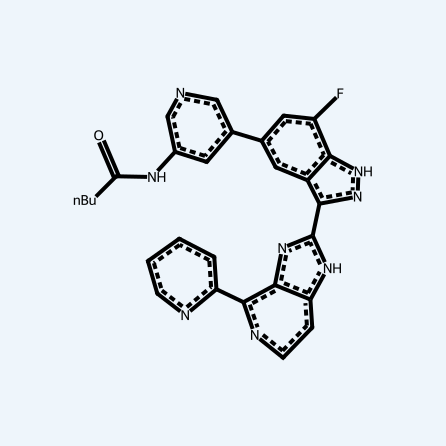 CCCCC(=O)Nc1cncc(-c2cc(F)c3[nH]nc(-c4nc5c(-c6ccccn6)nccc5[nH]4)c3c2)c1